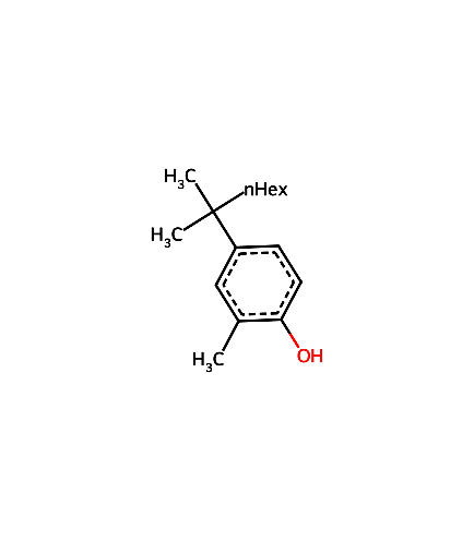 CCCCCCC(C)(C)c1ccc(O)c(C)c1